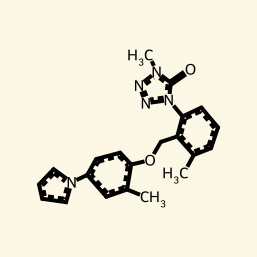 Cc1cc(-n2cccc2)ccc1OCc1c(C)cccc1-n1nnn(C)c1=O